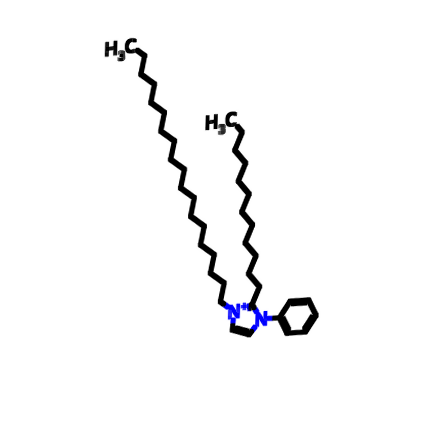 CCCCCCCCCCCCCCCCCCC[n+]1ccn(-c2ccccc2)c1CCCCCCCCCCCC